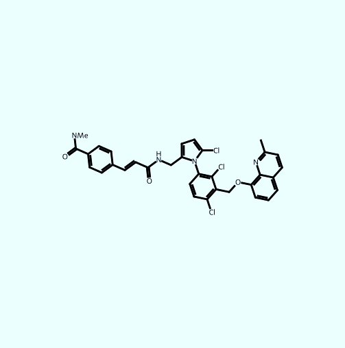 CNC(=O)c1ccc(C=CC(=O)NCc2ccc(Cl)n2-c2ccc(Cl)c(COc3cccc4ccc(C)nc34)c2Cl)cc1